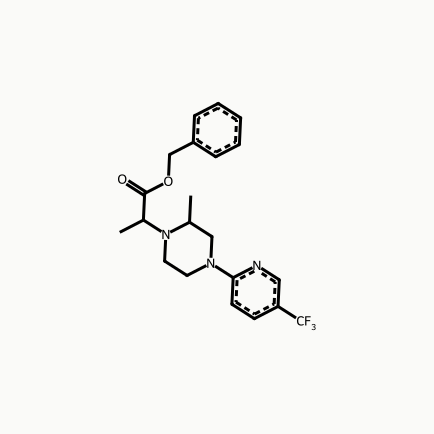 CC1CN(c2ccc(C(F)(F)F)cn2)CCN1C(C)C(=O)OCc1ccccc1